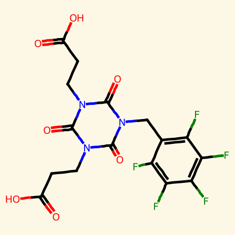 O=C(O)CCn1c(=O)n(CCC(=O)O)c(=O)n(Cc2c(F)c(F)c(F)c(F)c2F)c1=O